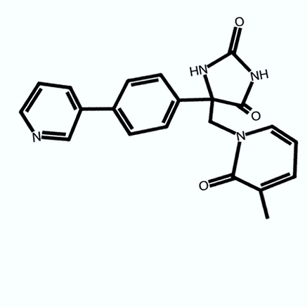 Cc1cccn(CC2(c3ccc(-c4cccnc4)cc3)NC(=O)NC2=O)c1=O